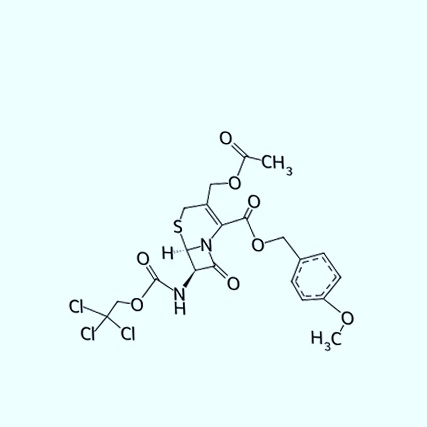 COc1ccc(COC(=O)C2=C(COC(C)=O)CS[C@@H]3[C@H](NC(=O)OCC(Cl)(Cl)Cl)C(=O)N23)cc1